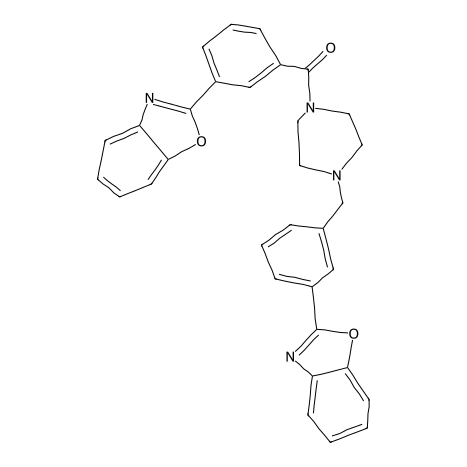 O=C(c1cccc(-c2nc3ccccc3o2)c1)N1CCN(Cc2cccc(-c3nc4ccccc4o3)c2)CC1